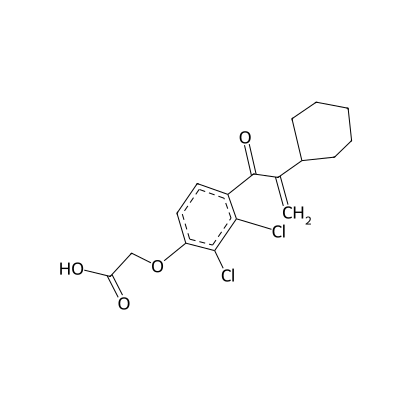 C=C(C(=O)c1ccc(OCC(=O)O)c(Cl)c1Cl)C1CCCCC1